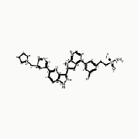 NS(=O)(=O)CCc1cc(F)cc(-c2ccnc3[nH]c(-c4n[nH]c5ccc(-c6cncc(CN7CCCC7)c6)nc45)cc23)c1